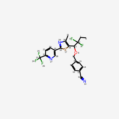 CCC(F)(F)C(OCc1ccc(C#N)cc1)c1sc(-c2ccc(C(F)(F)F)nc2)nc1C